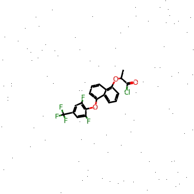 CC(Oc1cccc2c(Oc3c(F)cc(C(F)(F)F)cc3F)cccc12)C(=O)Cl